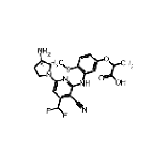 CSc1ccc(OC(C)C(=O)O)cc1Nc1nc(N2CC[C@@H](N)C2)cc(C(F)F)c1C#N